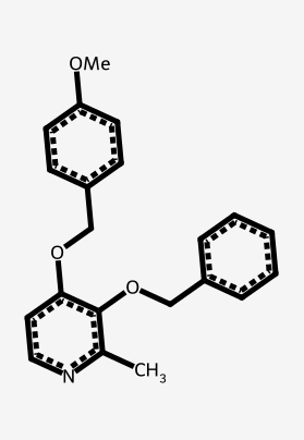 COc1ccc(COc2ccnc(C)c2OCc2ccccc2)cc1